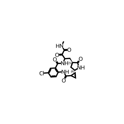 CNC(=O)C(=O)C(C[C@@H]1C[C@@H](C)NC1=O)NC(=O)c1cc(Cl)ccc1NC(=O)C1CC1